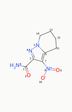 NC(=O)c1nn2c(c1[N+](=O)[O-])CCCC2